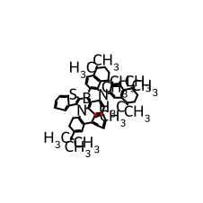 Cc1cc2c3c(c1)N(c1ccc4c(c1)C(C)(C)CCC4(C)C)c1c(ccc4c1C(C)(C)CCC4(C)C)B3c1sc3ccccc3c1N2C1=C(c2ccccc2)C=C(C(C)(C)C)CC1